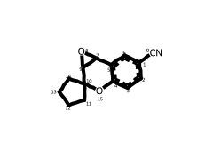 N#Cc1ccc2c(c1)C1OC1C1(CCCC1)O2